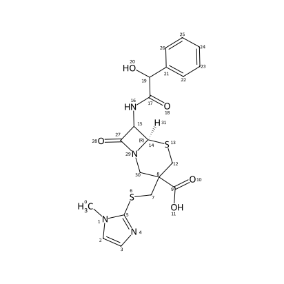 Cn1ccnc1SCC1(C(=O)O)CS[C@@H]2C(NC(=O)C(O)c3ccccc3)C(=O)N2C1